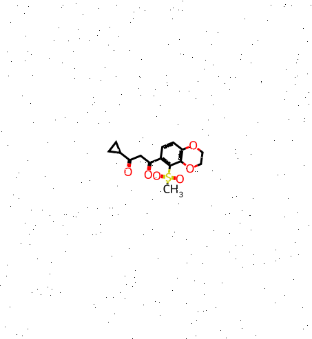 CS(=O)(=O)c1c(C(=O)CC(=O)C2CC2)ccc2c1OCCO2